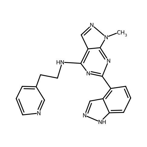 Cn1ncc2c(NCCc3cccnc3)nc(-c3cccc4[nH]ncc34)nc21